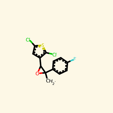 [CH2]C1(c2ccc(F)cc2)OC1c1cc(Cl)sc1Cl